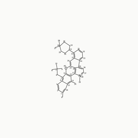 Cc1ccc2c(CC(C)(C)C)c3c(c(C)c2c1)-c1c2c(cc4c(C5CCC(C)(C)CC5)cccc4c2cc[n+]1C)O3